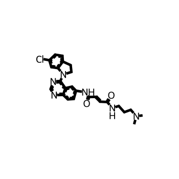 CN(C)CCCNC(=O)C=CC(=O)Nc1ccc2ncnc(N3CCc4ccc(Cl)cc43)c2c1